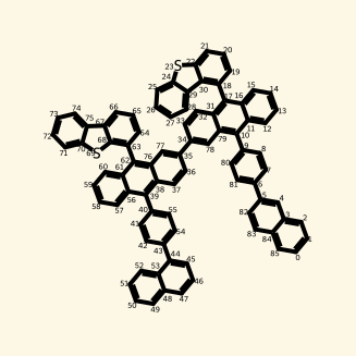 c1ccc2cc(-c3ccc(-c4c5ccccc5c(-c5cccc6sc7ccccc7c56)c5ccc(-c6ccc7c(-c8ccc(-c9cccc%10ccccc9%10)cc8)c8ccccc8c(-c8cccc9c8sc8ccccc89)c7c6)cc45)cc3)ccc2c1